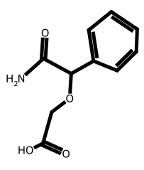 NC(=O)C(OCC(=O)O)c1ccccc1